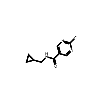 O=C(NCC1CC1)c1cnc(Cl)nc1